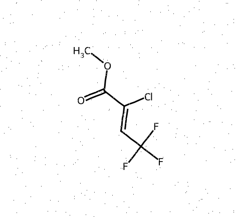 COC(=O)C(Cl)=CC(F)(F)F